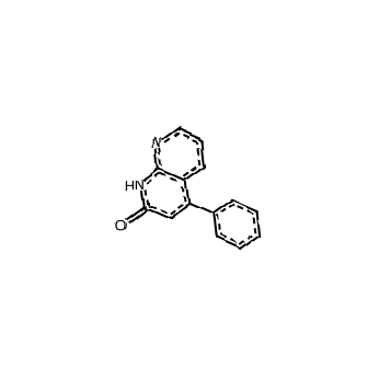 O=c1cc(-c2ccccc2)c2cccnc2[nH]1